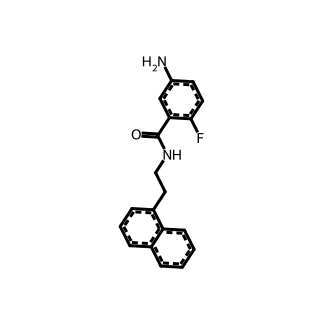 Nc1ccc(F)c(C(=O)NCCc2cccc3ccccc23)c1